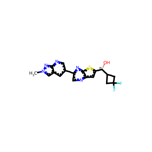 Cn1cc2cc(-c3cnc4cc([C@H](O)C5CC(F)(F)C5)sc4n3)cnc2n1